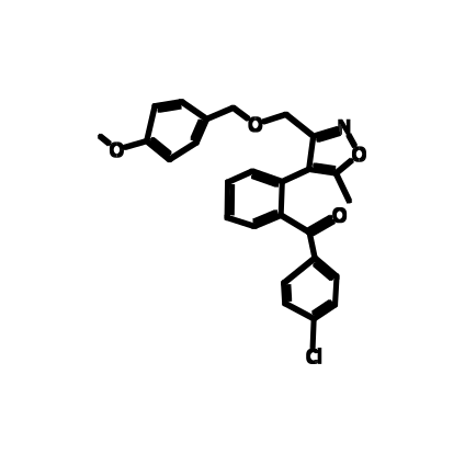 COc1ccc(COCc2noc(C)c2-c2ccccc2C(=O)c2ccc(Cl)cc2)cc1